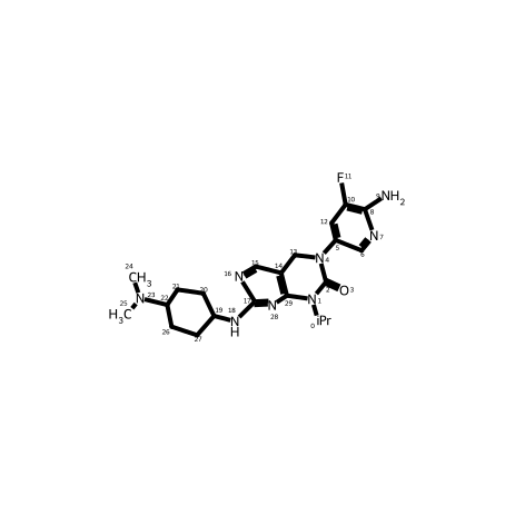 CC(C)N1C(=O)N(c2cnc(N)c(F)c2)Cc2cnc(NC3CCC(N(C)C)CC3)nc21